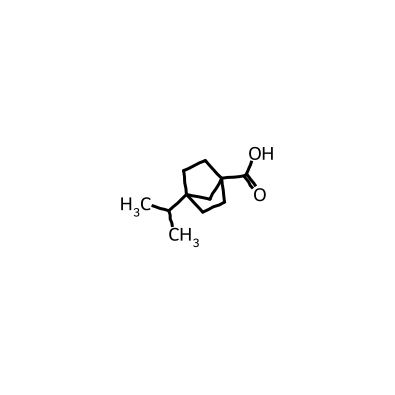 CC(C)C12CCC(C(=O)O)(CC1)C2